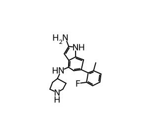 Cc1cccc(F)c1-c1cc(NC2CCNCC2)c2cc(N)[nH]c2c1